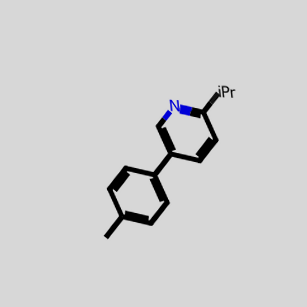 Cc1ccc(-c2ccc(C(C)C)nc2)cc1